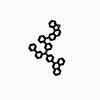 c1ccc(-c2cccc(N(c3ccc(-c4cc5ccccc5c5ccccc45)cc3)c3cccc(-c4ccccc4-c4ccc5ccc6oc7ccccc7c6c5c4)c3)c2)cc1